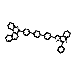 c1ccc(-c2nc3ccccc3c3cc(-c4ccc(-c5ccc(-c6ccc(-c7nc8ccccc8c8c7ccc7ccccc78)cc6)cc5)cc4)nn23)cc1